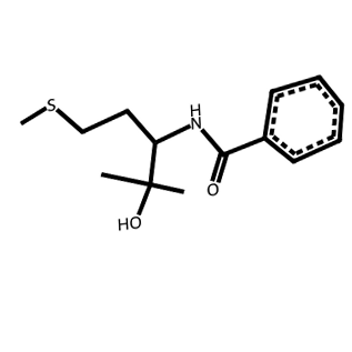 CSCCC(NC(=O)c1ccccc1)C(C)(C)O